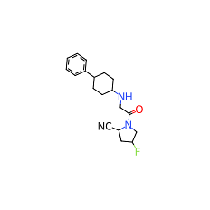 N#CC1CC(F)CN1C(=O)CNC1CCC(c2ccccc2)CC1